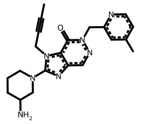 CC#CCn1c(N2CCCC(N)C2)nc2cnn(Cc3cc(C)ccn3)c(=O)c21